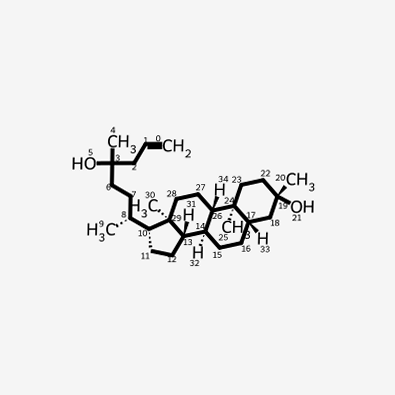 C=CCC(C)(O)CC[C@@H](C)[C@H]1CC[C@H]2[C@@H]3CC[C@H]4C[C@@](C)(O)CC[C@]4(C)[C@H]3CC[C@]12C